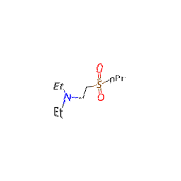 CCCS(=O)(=O)CCN(CC)CC